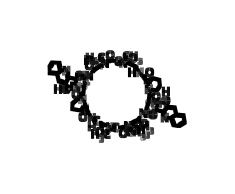 CC(C)[C@H]1C(=O)NC[C@@H](NC(=O)c2nc3ccccc3cc2O)C(=O)N2CCCC[C@H]2C(=O)NCC(=O)N(C)CC(=O)N(C)C(C)(C)C(=O)NC[C@@H](NC(=O)c2nc3ccccc3cc2O)C(=O)N2CCCC[C@H]2C(=O)NCC(=O)N(C)CC(=O)N1C